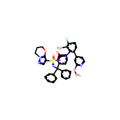 COc1cc(-c2ccc(F)c(C)c2NC(=O)N[S@@](=O)(=NC(c2ccccc2)(c2ccccc2)c2ccccc2)c2cnn3c2OCCC3)ccn1